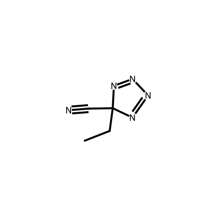 CCC1(C#N)N=NN=N1